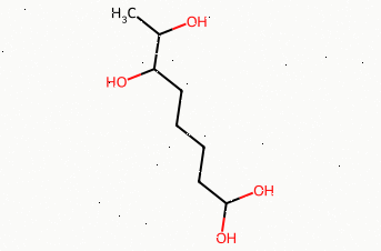 CC(O)C(O)CCCCC(O)O